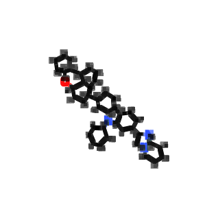 c1ccc(-n2c3cc(-c4cn5ccccc5n4)ccc3c3ccc(-c4ccc5c6c(cccc46)-c4ccccc4O5)cc32)cc1